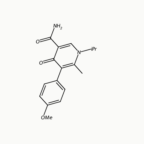 COc1ccc(-c2c(C)n(C(C)C)cc(C(N)=O)c2=O)cc1